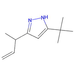 C=CC(C)c1cc(C(C)(C)C)[nH]n1